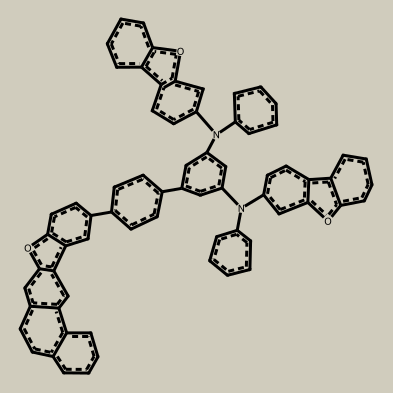 c1ccc(N(c2cc(-c3ccc(-c4ccc5oc6cc7ccc8ccccc8c7cc6c5c4)cc3)cc(N(c3ccccc3)c3ccc4c(c3)oc3ccccc34)c2)c2ccc3c(c2)oc2ccccc23)cc1